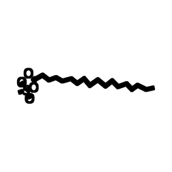 CCCCCCCCCCCCCCCCCC(=O)OS(C)(=O)=O